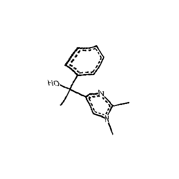 Cc1nc(C(C)(O)c2ccccc2)cn1C